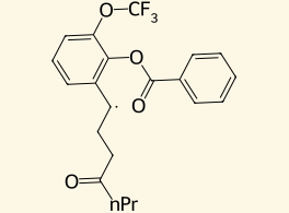 CCCC(=O)CC[CH]c1cccc(OC(F)(F)F)c1OC(=O)c1ccccc1